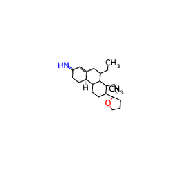 CCC1CC2=CC(=N)CC[C@@H]2C2CC[C@@]3(C)C(CC[C@@]34CCCO4)C12